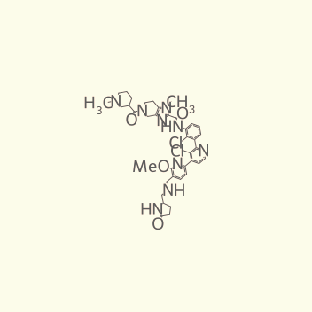 COc1nc(-c2ccnc(-c3cccc(NC(=O)c4nc5c(n4C)CCN(C(=O)C4CCCN(C)C4)C5)c3Cl)c2Cl)ccc1CNCC1CCC(=O)N1